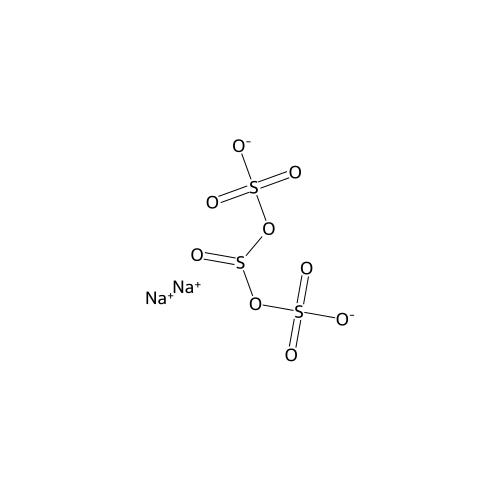 O=S(OS(=O)(=O)[O-])OS(=O)(=O)[O-].[Na+].[Na+]